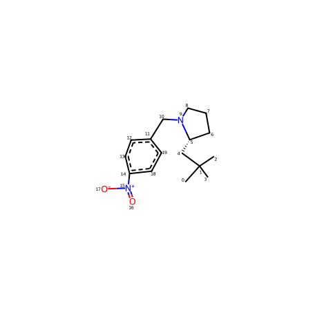 CC(C)(C)C[C@H]1CCCN1Cc1ccc([N+](=O)[O-])cc1